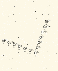 [Co+2].[Co+2].[Cr+3].[Cr+3].[Ni+2].[Ni+2].[O-2].[O-2].[O-2].[O-2].[O-2].[O-2].[O-2]